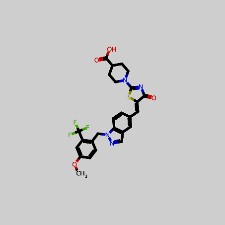 COc1ccc(Cn2ncc3cc(/C=C4\SC(N5CCC(C(=O)O)CC5)=NC4=O)ccc32)c(C(F)(F)F)c1